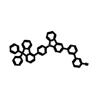 Brc1cccc(-c2cccc(-c3ccc4c(c3)c3ccccc3n4-c3ccc(-c4cccc5c4-c4ccccc4C5(c4ccccc4)c4ccccc4)cc3)c2)c1